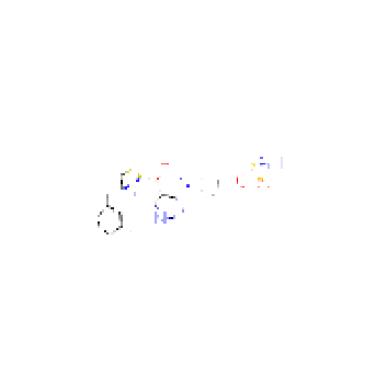 Cc1cccc(Cc2csc(C(=O)c3cncnc3N[C@@H]3C[C@H](COS(N)(=O)=O)[C@@H](O)C3)n2)c1